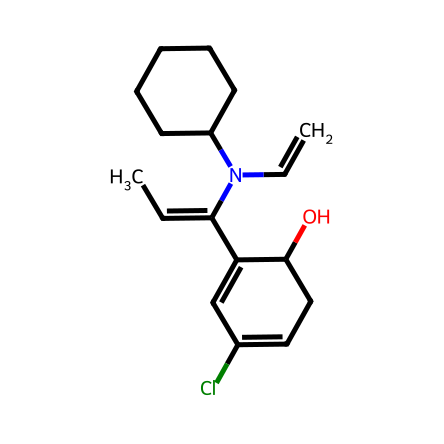 C=CN(/C(=C\C)C1=CC(Cl)=CCC1O)C1CCCCC1